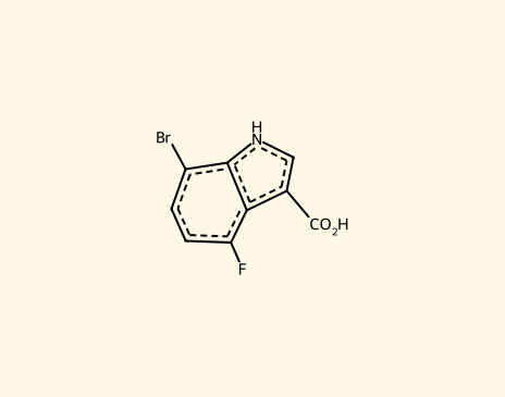 O=C(O)c1c[nH]c2c(Br)ccc(F)c12